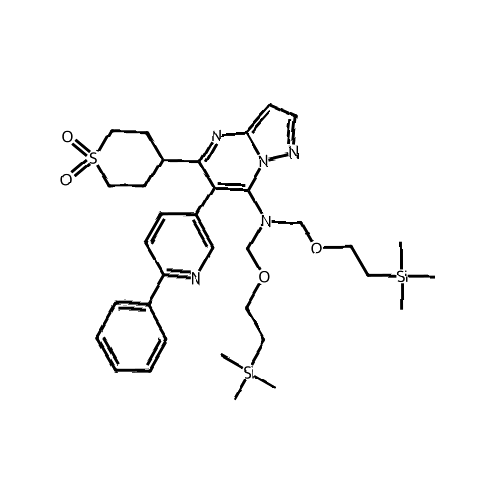 C[Si](C)(C)CCOCN(COCC[Si](C)(C)C)c1c(-c2ccc(-c3ccccc3)nc2)c(C2CCS(=O)(=O)CC2)nc2ccnn12